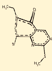 CCn1cc(Br)c2nc(SC)ncc2c1=O